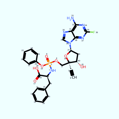 C#C[C@]1(COP(=O)(N[C@@H](Cc2ccccc2)C(=O)O)Oc2ccccc2)O[C@@H](n2cnc3c(N)nc(F)nc32)C[C@@H]1O